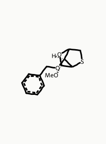 CO[C@@H]1OC2CSC1[C@H]2OCc1ccccc1